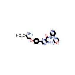 Nc1ncc(-c2ccc(OCC[C@H](N)C(=O)O)cc2)nc1C(=O)Nc1cnccc1N1CCOCC1